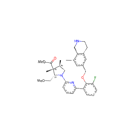 COC[C@H]1N(c2cccc(-c3cccc(F)c3OCc3cc(C)c4c(c3)CCNC4)n2)C[C@H](C)[C@@]1(C)C(=O)OC